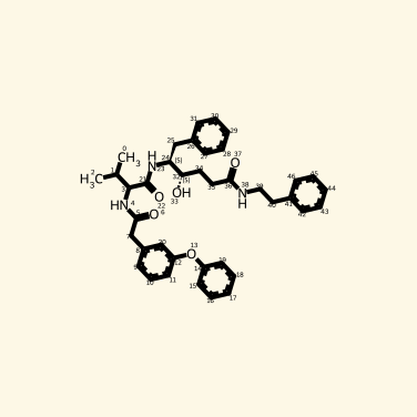 CC(C)C(NC(=O)Cc1cccc(Oc2ccccc2)c1)C(=O)N[C@@H](Cc1ccccc1)[C@@H](O)CCC(=O)NCCc1ccccc1